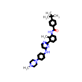 Cc1c(NC(=O)c2ccc(C(C)(C)C)cc2)cccc1-c1nccc(Nc2ccc(N3CCN(C)CC3)cc2)n1